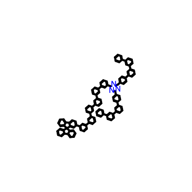 c1ccc(-c2cccc(-c3cccc(-c4ccc(-c5nc(-c6ccc(-c7cccc(-c8cccc(-c9ccccc9)c8)c7)cc6)nc(-c6cccc(-c7cccc(-c8cccc(-c9cccc(-c%10cccc(-c%11cccc(-c%12ccc%13c(c%12)C%12(c%14ccccc%14-c%14ccccc%14%12)c%12ccccc%12-%13)c%11)c%10)c9)c8)c7)c6)n5)cc4)c3)c2)cc1